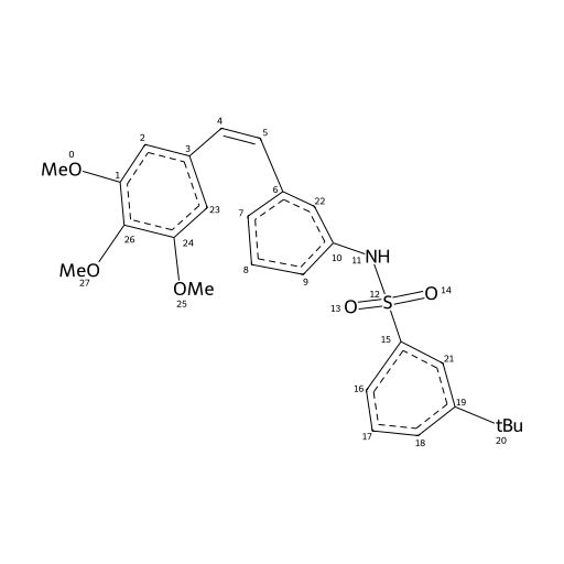 COc1cc(/C=C\c2cccc(NS(=O)(=O)c3cccc(C(C)(C)C)c3)c2)cc(OC)c1OC